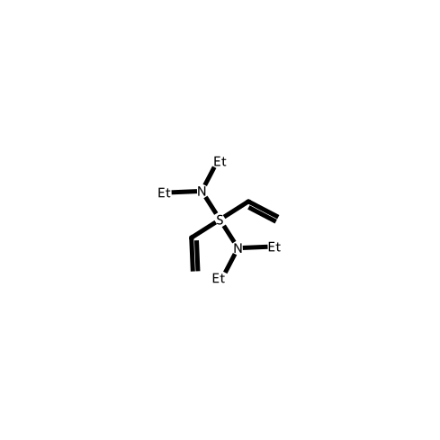 C=CS(C=C)(N(CC)CC)N(CC)CC